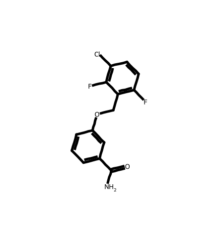 NC(=O)c1cccc(OCc2c(F)ccc(Cl)c2F)c1